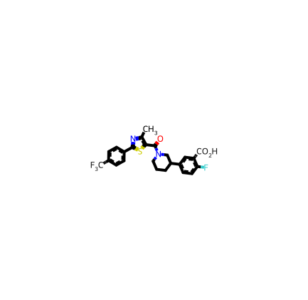 Cc1nc(-c2ccc(C(F)(F)F)cc2)sc1C(=O)N1CCCC(c2ccc(F)c(C(=O)O)c2)C1